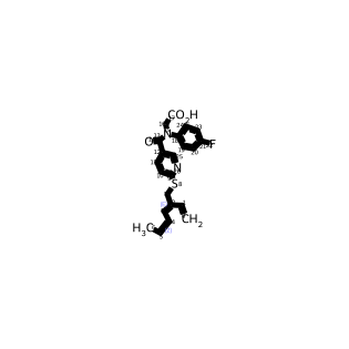 C=C/C(=C\C=C/C)CSc1ccc(C(=O)N(CC(=O)O)c2ccc(F)cc2)cn1